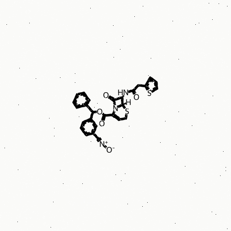 O=C(Cc1cccs1)N[C@@H]1C(=O)N2C(C(=O)OC(c3ccccc3)c3cccc(C#[N+][O-])c3)=CCS[C@@H]12